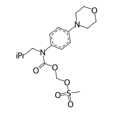 CC(C)CN(C(=O)OCOS(C)(=O)=O)c1ccc(N2CCOCC2)cc1